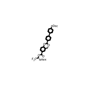 CCCCCCCCCCc1ccc(-c2ccc(C(=O)Oc3ccc(C(=O)O[C@H](CCCCCC)C(F)(F)F)cc3F)cc2)cc1